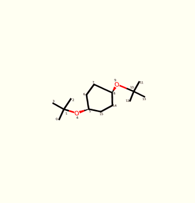 CC(C)(C)O[C@H]1CC[C@@H](OC(C)(C)C)CC1